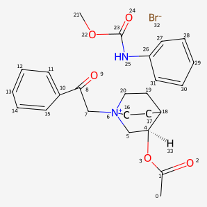 CC(=O)O[C@H]1C[N+]2(CC(=O)c3ccccc3)CCC1CC2.COC(=O)Nc1ccccc1.[Br-]